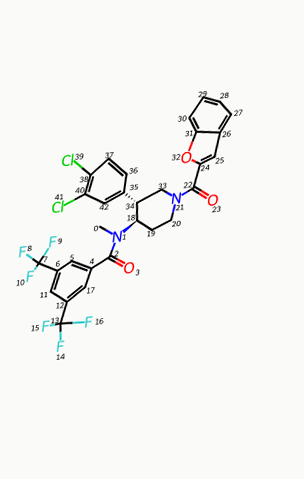 CN(C(=O)c1cc(C(F)(F)F)cc(C(F)(F)F)c1)[C@@H]1CCN(C(=O)c2cc3ccccc3o2)C[C@H]1c1ccc(Cl)c(Cl)c1